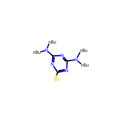 CCCCN(CCCC)c1nc(S)nc(N(CCCC)CCCC)n1